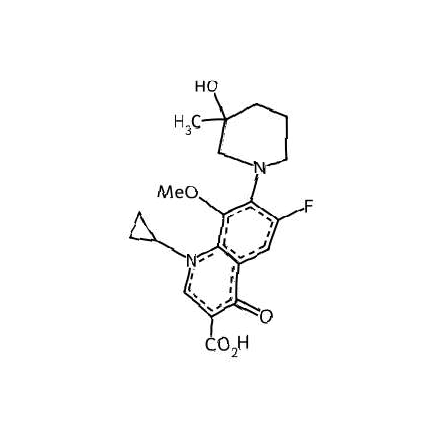 COc1c(N2CCCC(C)(O)C2)c(F)cc2c(=O)c(C(=O)O)cn(C3CC3)c12